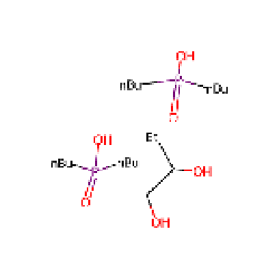 CCC(O)CO.CCCCP(=O)(O)CCCC.CCCCP(=O)(O)CCCC